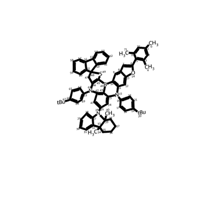 Cc1cc(C)c(-c2cc3cc4c(cc3o2)N(c2ccc(C(C)(C)C)cc2)c2cc(N3c5ccccc5C5(C)CCCCC35C)cc3c2B4C2=C(CC4(S2)c2ccccc2-c2ccccc24)N3c2ccc(C(C)(C)C)cc2)c(C)c1